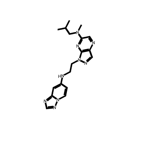 CC(C)CN(C)c1cnc2cnn(CCNc3ccn4ncnc4c3)c2n1